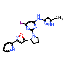 Cc1cc(Nc2cc(I)nc(N3CCC[C@H]3c3cc(-c4ccccn4)no3)n2)n[nH]1